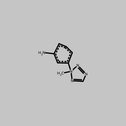 C[N+]1(c2cccc(N)c2)N=CN=N1